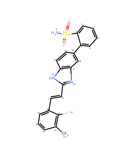 NS(=O)(=O)c1ccccc1-c1ccc2[nH]c(/C=C/c3cccc(C(F)(F)F)c3F)nc2c1